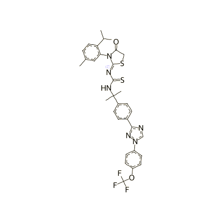 Cc1ccc(C(C)C)c(N2C(=O)CS/C2=N\C(=S)NC(C)(C)c2ccc(-c3ncn(-c4ccc(OC(F)(F)F)cc4)n3)cc2)c1